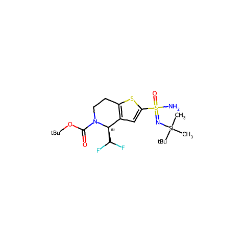 CC(C)(C)OC(=O)N1CCc2sc(S(N)(=O)=N[Si](C)(C)C(C)(C)C)cc2[C@H]1C(F)F